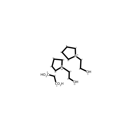 O=C(O)CC(=O)O.OCCN1CCCC1.OCCN1CCCC1